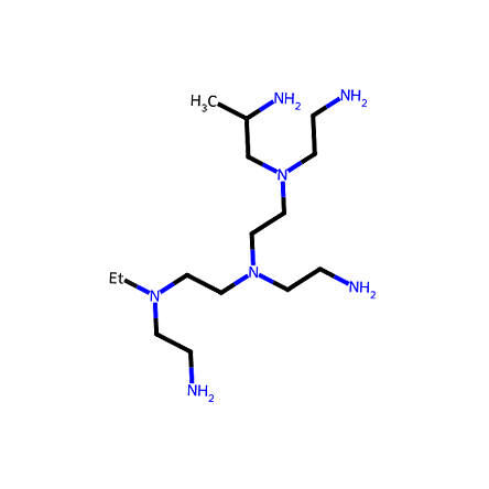 CCN(CCN)CCN(CCN)CCN(CCN)CC(C)N